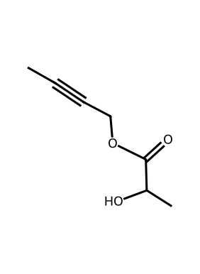 CC#CCOC(=O)C(C)O